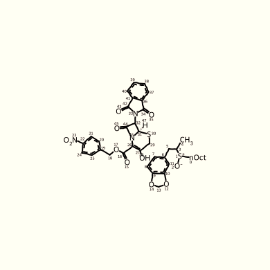 CCCCCCCC[S+]([O-])C(C)Cc1ccc2c(c1)OCO2.O=C(OCc1ccc([N+](=O)[O-])cc1)C1=C(O)CS[C@@H]2C(N3C(=O)c4ccccc4C3=O)C(=O)N12